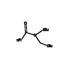 CCCC(=O)N(CC(C)(C)C)C(C)(C)C